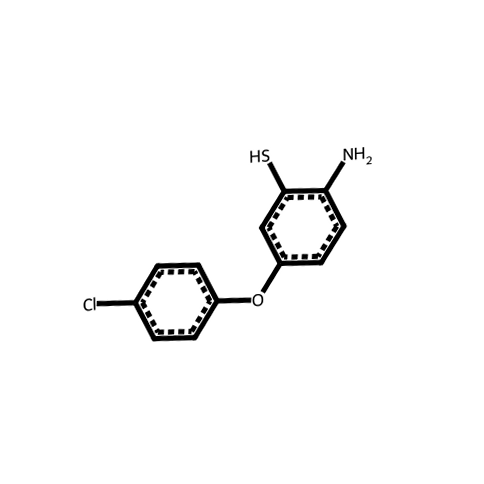 Nc1ccc(Oc2ccc(Cl)cc2)cc1S